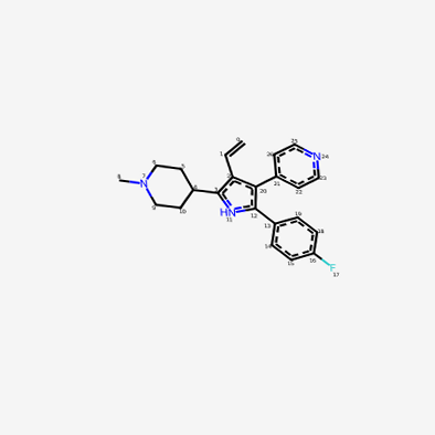 C=Cc1c(C2CCN(C)CC2)[nH]c(-c2ccc(F)cc2)c1-c1ccncc1